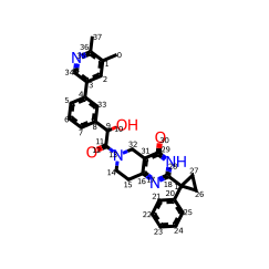 Cc1cc(-c2cccc(C(O)C(=O)N3CCc4nc(C5(c6ccccc6)CC5)[nH]c(=O)c4C3)c2)cnc1C